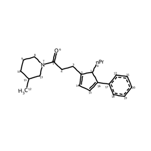 CCCC1C(CCC(=O)N2CCCC(C)C2)=CC=C1c1ccccc1